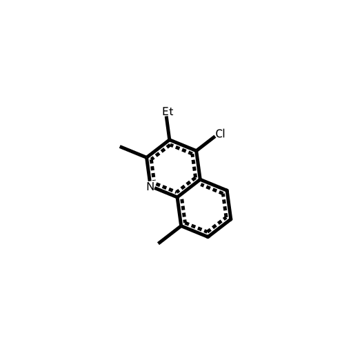 CCc1c(C)nc2c(C)cccc2c1Cl